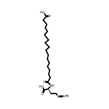 [N-]=[N+]=NCC[C@H](NC(=O)CCCCCCCCCCCCCCCCC(=O)O)C(=O)O